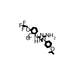 CC(C)Oc1ccc(-n2nc(NC3C=CC=C(OCC(F)(F)F)C3=C=O)nc2N)cc1